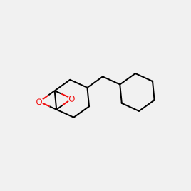 C1CCC(CC2CCC34OC3(C2)O4)CC1